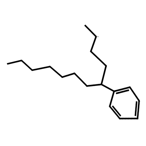 C[CH]CCC(CCCCCCC)c1ccccc1